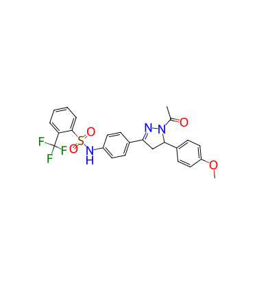 COc1ccc(C2CC(c3ccc(NS(=O)(=O)c4ccccc4C(F)(F)F)cc3)=NN2C(C)=O)cc1